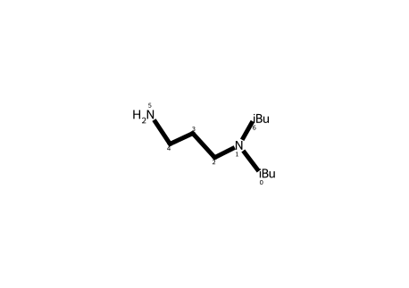 CCC(C)N(CCCN)C(C)CC